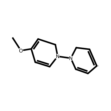 COC1=CCN(N2C=C[C]=CC2)C=C1